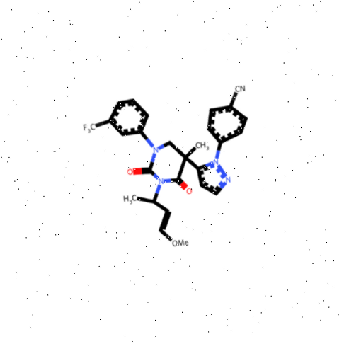 COC=CC(C)N1C(=O)N(c2cccc(C(F)(F)F)c2)CC(C)(c2ccnn2-c2ccc(C#N)cc2)C1=O